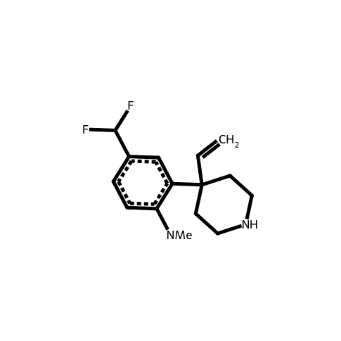 C=CC1(c2cc(C(F)F)ccc2NC)CCNCC1